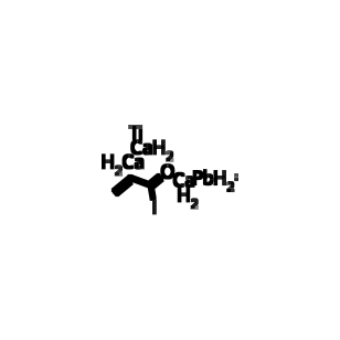 C=CC(=O)I.[CaH2].[CaH2].[CaH2].[PbH2].[Ti]